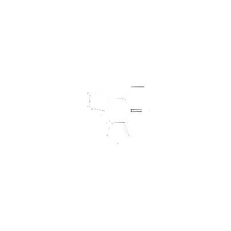 CCn1c(=O)c2cccn2c2c1cnn2C